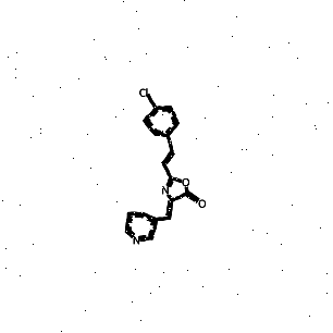 O=C1OC(C=Cc2ccc(Cl)cc2)=NC1=Cc1cccnc1